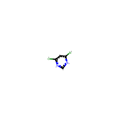 Clc1cc(Br)ncn1